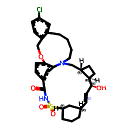 O=C1NS(=O)(=O)[C@@H]2CCC[C@@H](/C=C/[C@H](O)[C@@H]3CC[C@H]3CN3CCCCc4cc(Cl)ccc4COc4ccc1cc43)C2